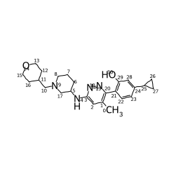 Cc1cc(NC2CCCN(CC3CCOCC3)C2)nnc1-c1ccc(C2CC2)cc1O